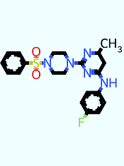 CC1CC(Nc2ccc(F)cc2)=NC(N2CCN(S(=O)(=O)c3ccccc3)CC2)=N1